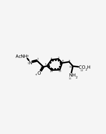 CC(=O)N/N=C/C(=O)c1ccc(CC(N)C(=O)O)cc1